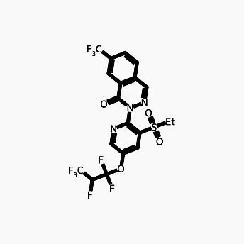 CCS(=O)(=O)c1cc(OC(F)(F)C(F)C(F)(F)F)cnc1-n1ncc2ccc(C(F)(F)F)cc2c1=O